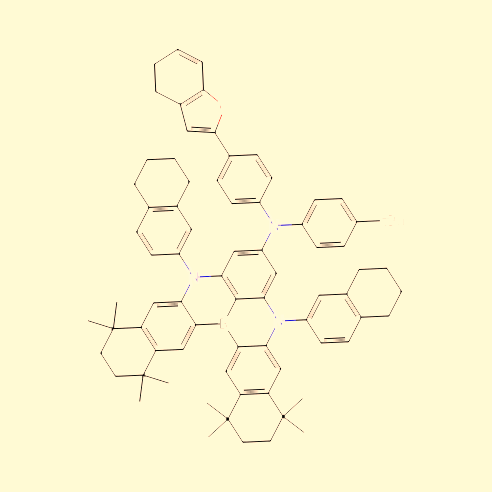 CC(C)(C)c1ccc(N(c2ccc(-c3cc4c(o3)C=CCC4)cc2)c2cc3c4c(c2)N(c2ccc5c(c2)CCCC5)c2cc5c(cc2B4c2cc4c(cc2N3c2ccc3c(c2)CCCC3)C(C)(C)CCC4(C)C)C(C)(C)CCC5(C)C)cc1